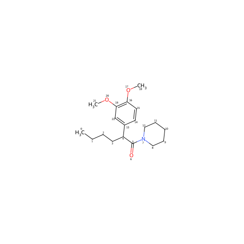 CCCCC(C(=O)N1CCCCC1)c1ccc(OC)c(OC)c1